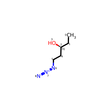 CC[C@H](O)CCN=[N+]=[N-]